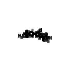 CCS(=O)(=O)c1ccc(-c2cc(Cl)c3oc(N(C)C(=O)O)cc3c2)cc1